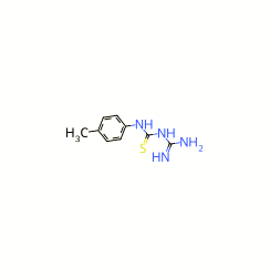 Cc1ccc(NC(=S)NC(=N)N)cc1